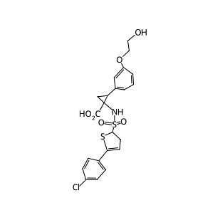 O=C(O)C1(NS(=O)(=O)C2CC=C(c3ccc(Cl)cc3)S2)CC1c1cccc(OCCO)c1